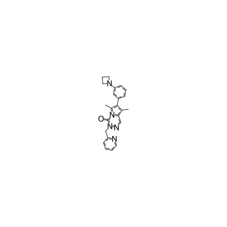 Cc1c(-c2cccc(N3CCC3)c2)c(C)n2c(=O)n(Cc3ccccn3)ncc12